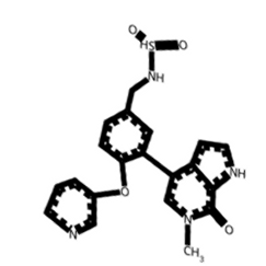 Cn1cc(-c2cc(CN[SH](=O)=O)ccc2Oc2cccnc2)c2cc[nH]c2c1=O